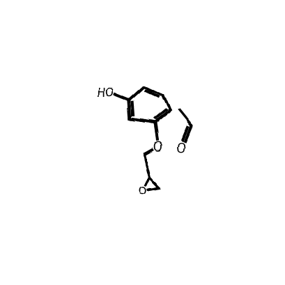 CC=O.Oc1cccc(OCC2CO2)c1